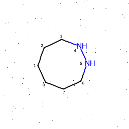 [CH]1CCCNNCC1